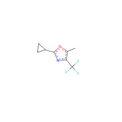 Cc1oc(C2CC2)nc1C(F)(F)F